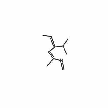 C=N/C(C)=C\C(=C/C)C(C)C